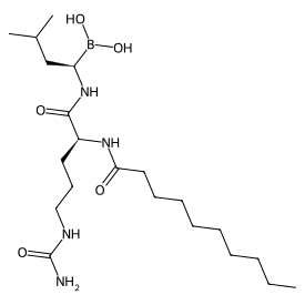 CCCCCCCCCC(=O)N[C@@H](CCCNC(N)=O)C(=O)N[C@@H](CC(C)C)B(O)O